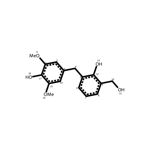 COc1cc(Cc2cccc(CO)c2O)cc(OC)c1O